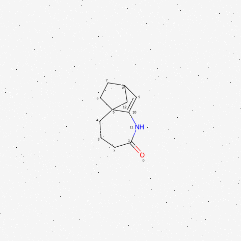 O=C1CCCC23CCC(C=C2N1)C3